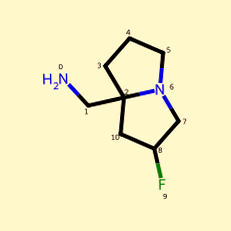 NCC12CCCN1CC(F)C2